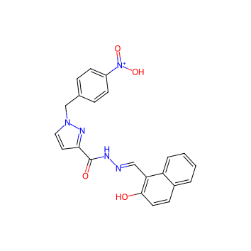 O=C(N/N=C/c1c(O)ccc2ccccc12)c1ccn(Cc2ccc([N+](=O)O)cc2)n1